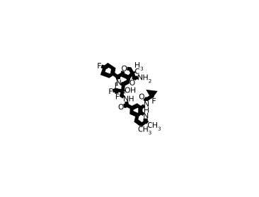 Cc1cc2cc(C(=O)NC[C@](O)(c3cc4c(c(-c5ccc(F)cc5)n3)OC[C@]4(C)C(N)=O)C(F)(F)F)cc(NC(=O)C3(F)CC3)c2nc1C